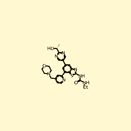 CCNC(=O)Nc1nc2cc(-c3cnc([C@@H](C)O)nc3)cc(-c3cc(CN4CCOCC4)ccn3)c2s1